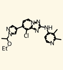 CCOC(C)n1cc(-c2ccn3nc(Nc4ccnc(C)c4C)nc3c2Cl)cn1